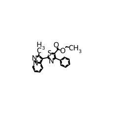 CCOC(=O)c1sc(-c2c(C)nn3ccccc23)nc1-c1ccccc1